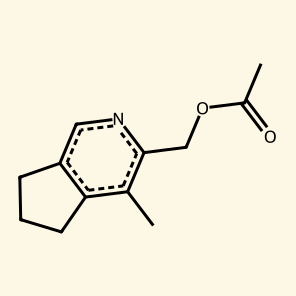 CC(=O)OCc1ncc2c(c1C)CCC2